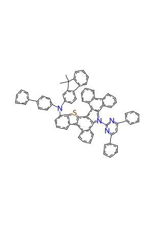 CC1(C)c2ccccc2-c2ccc(N(c3ccc(-c4ccccc4)cc3)c3cccc4c3sc3c4c4ccccc4c4c3c3c5ccccc5c5ccccc5c3n4-c3nc(-c4ccccc4)cc(-c4ccccc4)n3)cc21